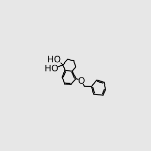 OC1(O)CCCc2c(OCc3ccccc3)cccc21